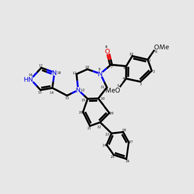 COc1ccc(OC)c(C(=O)N2CCN(Cc3c[nH]cn3)c3ccc(-c4ccccc4)cc3C2)c1